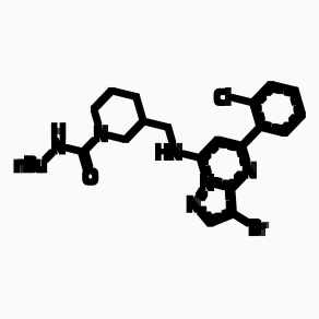 CCCCNC(=O)N1CCCC(CNc2cc(-c3ccccc3Cl)nc3c(Br)cnn23)C1